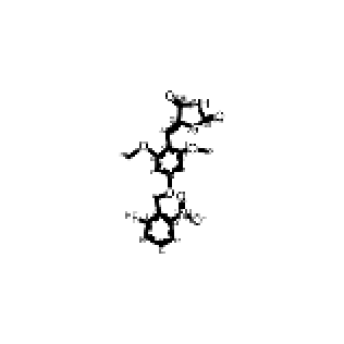 COc1cc(OCc2c(F)cccc2[N+](=O)[O-])cc(OC)c1/C=C1\SC(=O)NC1=O